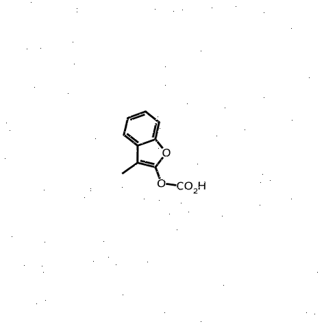 Cc1c(OC(=O)O)oc2ccccc12